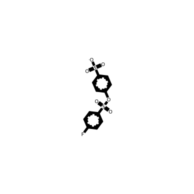 [O]S(=O)(=O)c1ccc(OS(=O)(=O)c2ccc(F)cc2)cc1